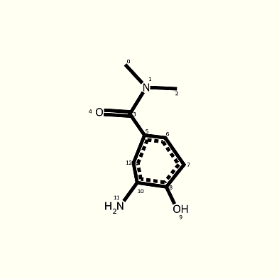 CN(C)C(=O)c1ccc(O)c(N)c1